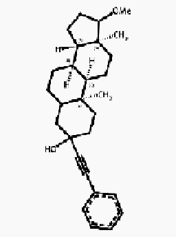 COC1CC[C@H]2[C@@H]3CCC4CC(O)(C#Cc5ccccc5)CC[C@]4(C)[C@@H]3CC[C@]12C